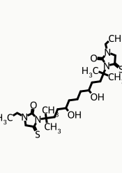 CCN1CC(=S)N(C(C)(C)CCC(O)CCCC(O)CCC(C)(C)N2C(=O)N(CC)CC2=S)C1=O